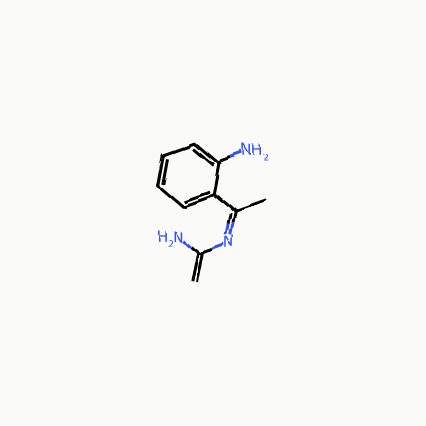 C=C(N)/N=C(/C)c1ccccc1N